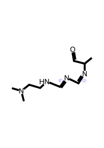 CC(C=O)/N=C\N=C\NCCN(C)C